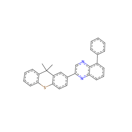 CC1(C)c2ccccc2Sc2ccc(-c3cnc4c(-c5ccccc5)cccc4n3)cc21